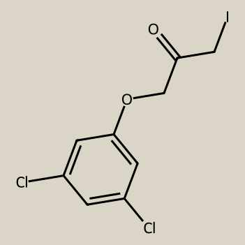 O=C(CI)COc1cc(Cl)cc(Cl)c1